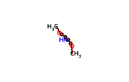 CCCCCCOc1ccc(-c2ccc3c(c2)[nH]c2cc(-c4ccc(OCCCCCC)cc4)ccc23)cc1